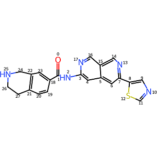 O=C(Nc1cc2cc(-c3cncs3)ncc2cn1)c1ccc2c(c1)CNCC2